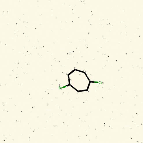 ClC1CCCC(Br)CC1